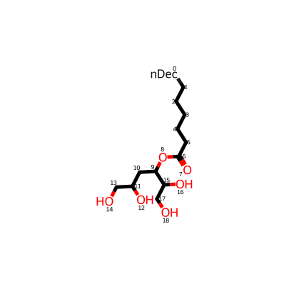 CCCCCCCCCCCCCCCC(=O)OC(CC(O)CO)C(O)CO